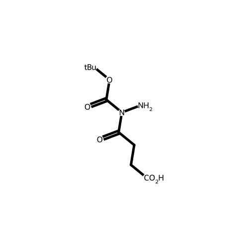 CC(C)(C)OC(=O)N(N)C(=O)CCC(=O)O